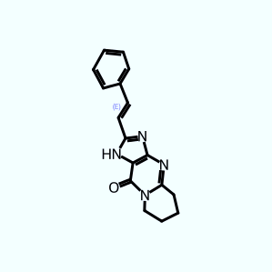 O=c1c2[nH]c(/C=C/c3ccccc3)nc2nc2n1CCCC2